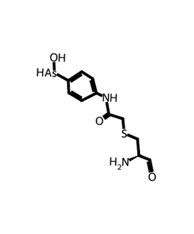 N[C@H](C=O)CSCC(=O)Nc1ccc([AsH]O)cc1